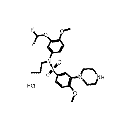 CCCN(c1ccc(OC)c(OC(F)F)c1)S(=O)(=O)c1ccc(OC)c(N2CCNCC2)c1.Cl